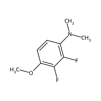 COc1ccc(N(C)C)c(F)c1F